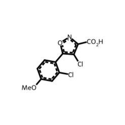 COc1ccc(-c2onc(C(=O)O)c2Cl)c(Cl)c1